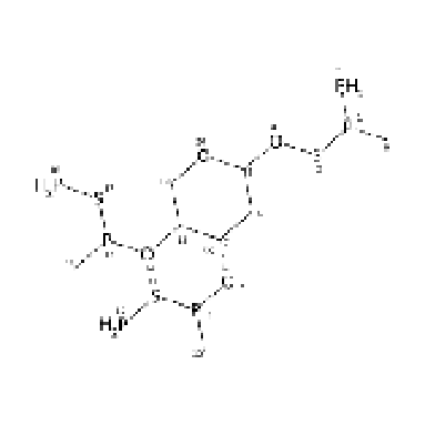 CP(P)SOC1C[C@H](OP(C)SP)C(OP(C)SP)CO1